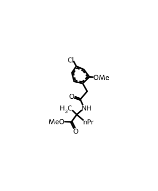 CCCC(C)(NC(=O)Cc1ccc(Cl)cc1OC)C(=O)OC